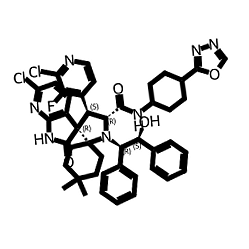 CC1(C)CCC2(CC1)N([C@H](c1ccccc1)[C@@H](O)c1ccccc1)[C@@H](C(=O)NC1CCC(c3nnco3)CC1)[C@H](c1ccnc(Cl)c1F)[C@]21C(=O)Nc2nc(Cl)ccc21